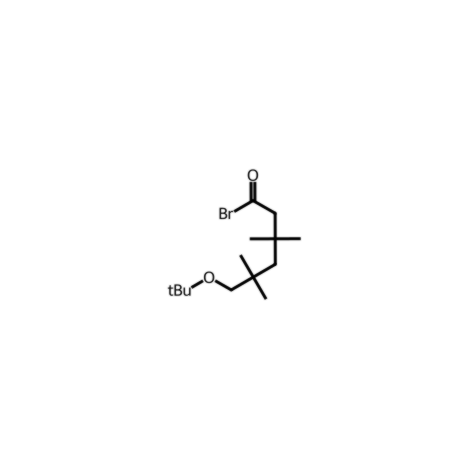 CC(C)(COC(C)(C)C)CC(C)(C)CC(=O)Br